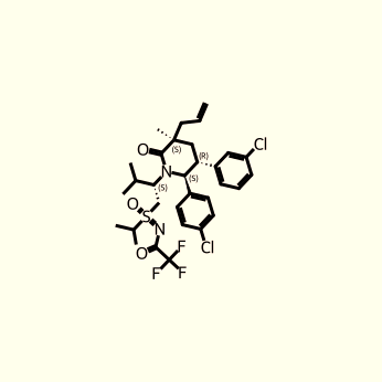 C=CC[C@@]1(C)C[C@H](c2cccc(Cl)c2)[C@@H](c2ccc(Cl)cc2)N([C@H](CS(=O)(=NC(=O)C(F)(F)F)C(C)C)C(C)C)C1=O